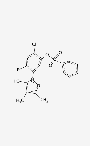 Cc1nn(-c2cc(OS(=O)(=O)c3ccccc3)c(Cl)cc2F)c(C)c1C